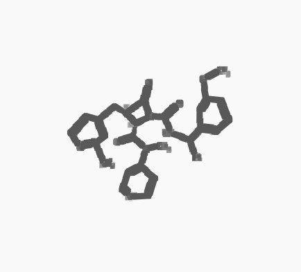 CCC(NC(=O)N1C(=O)[C@H](Cc2ccnc(N)c2)[C@H]1C(=O)N(C)c1ccncc1)c1cccc(OC(F)(F)F)c1